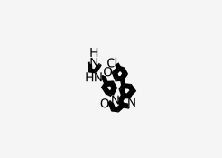 O=C(NC1CCNC1)c1ccc(-n2c(=O)ccc3cnc4ccc(-c5ccc(Cl)cc5)cc4c32)cc1